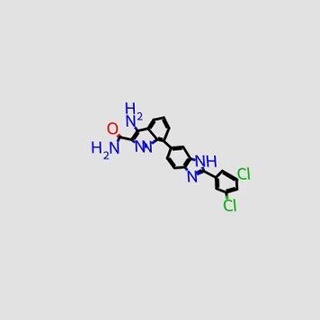 NC(=O)c1nnc2c(-c3ccc4nc(-c5cc(Cl)cc(Cl)c5)[nH]c4c3)cccc2c1N